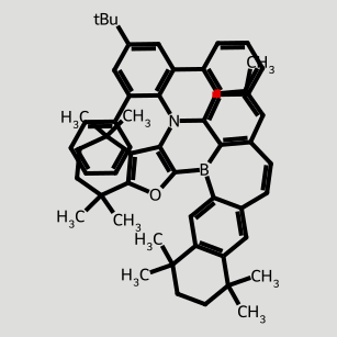 Cc1cc2c3c(c1)N(c1c(-c4ccccc4)cc(C(C)(C)C)cc1-c1ccccc1)c1c(oc4c1C(C)(C)CCC4(C)C)B3c1cc3c(cc1C=C2)C(C)(C)CCC3(C)C